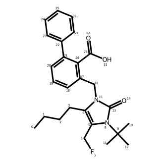 CCCCc1c(CF)n(C(C)(C)C)c(=O)n1Cc1cccc(-c2ccccc2)c1C(=O)O